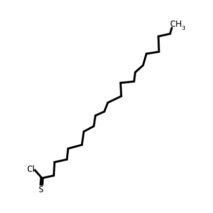 CCCCCCCCCCCCCCCCCCCCC(=S)Cl